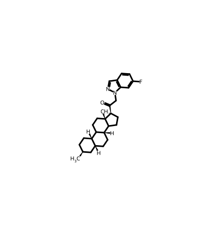 C[C@H]1CC[C@@H]2C3CC[C@@]4(C)C(CC[C@@H]4C(=O)Cn4ncc5ccc(F)cc54)[C@@H]3CC[C@@H]2C1